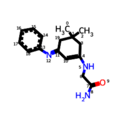 CC1(C)CC(NCC(N)=O)=CC(=Nc2ccccc2)C1